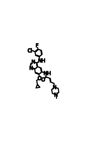 CN1CCN(CC=CC(=O)Nc2cc3c(Nc4ccc(F)c(Cl)c4)ncnc3cc2OCC2CC2)CC1